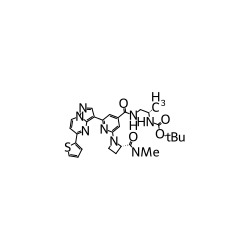 CNC(=O)[C@@H]1CCN1c1cc(C(=O)NC[C@H](C)NC(=O)OC(C)(C)C)cc(-c2cnn3ccc(-c4cccs4)nc23)n1